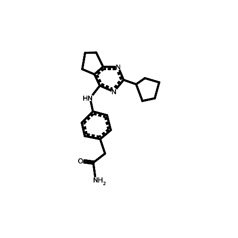 NC(=O)Cc1ccc(Nc2nc(C3CCCC3)nc3c2CCC3)cc1